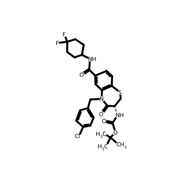 CC(C)(C)OC(=O)N[C@H]1CSc2ccc(C(=O)NC3CCC(F)(F)CC3)cc2N(Cc2ccc(Cl)cc2)C1=O